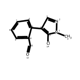 Cn1ncc(-c2ccccc2C=O)c1Cl